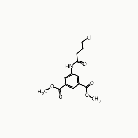 COC(=O)c1cc(NC(=O)CCCCl)cc(C(=O)OC)c1